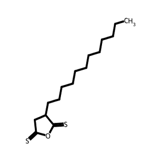 CCCCCCCCCCCCC1CC(=S)OC1=S